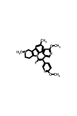 COc1ccc(C(=C(F)n2c3c(c4cc(C)ccc42)CN(C)CC3)c2ccc(OC)nc2)cn1